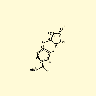 CCCCC(C)c1ccc(CC2NC(=O)CS2)cc1